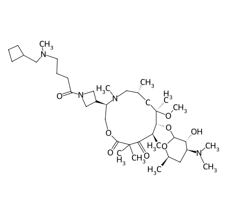 CO[C@]1(C)C[C@@H](C)CN(C)[C@H](C2CN(C(=O)CCCN(C)CC3CCC3)C2)COC(=O)C(C)(C)C(=O)[C@H](C)[C@H]1OC1O[C@H](C)C[C@H](N(C)C)[C@H]1O